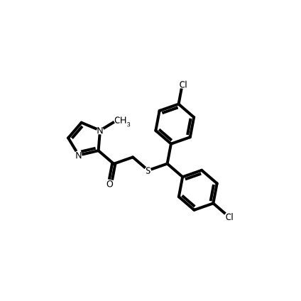 Cn1ccnc1C(=O)CSC(c1ccc(Cl)cc1)c1ccc(Cl)cc1